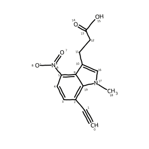 C#Cc1ccc([N+](=O)[O-])c2c(CCC(=O)O)cn(C)c12